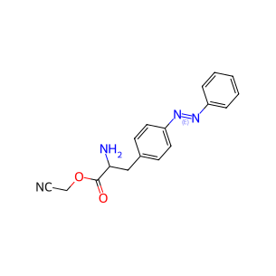 N#CCOC(=O)C(N)Cc1ccc(/N=N/c2ccccc2)cc1